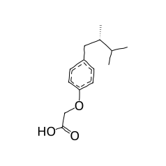 CC(C)[C@@H](C)Cc1ccc(OCC(=O)O)cc1